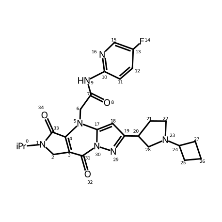 CC(C)N1Cc2c(n(CC(=O)Nc3ccc(F)cn3)c3cc(C4CCN(C5CCC5)C4)nn3c2=O)C1=O